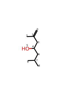 C=C(C)CC(O)CC(C)C